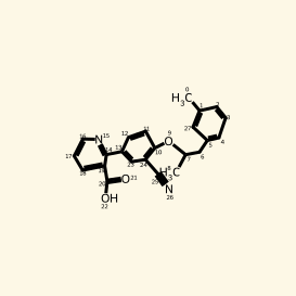 Cc1cccc(CC(C)Oc2ccc(-c3ncccc3C(=O)O)cc2C#N)c1